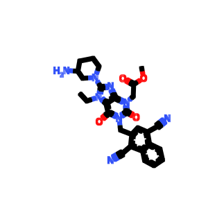 CCn1c(N2CCCC(N)C2)nc2c1c(=O)n(Cc1cc(C#N)c3ccccc3c1C#N)c(=O)n2CC(=O)OC